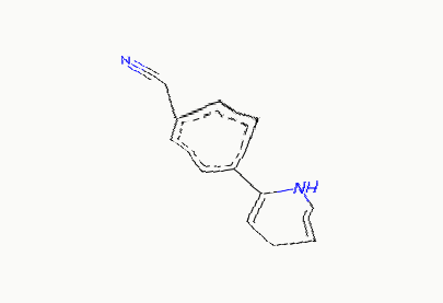 N#Cc1ccc(C2=CCC=CN2)cc1